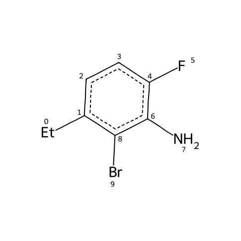 CCc1ccc(F)c(N)c1Br